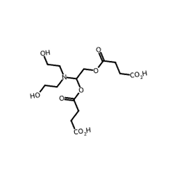 O=C(O)CCC(=O)OCC(OC(=O)CCC(=O)O)N(CCO)CCO